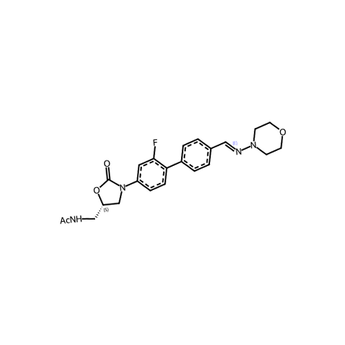 CC(=O)NC[C@H]1CN(c2ccc(-c3ccc(/C=N/N4CCOCC4)cc3)c(F)c2)C(=O)O1